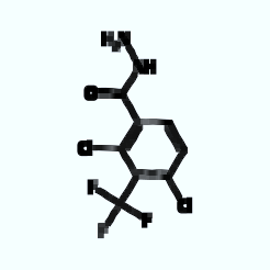 NNC(=O)c1ccc(Cl)c(C(F)(F)F)c1Cl